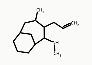 C=CCC1C(C)CC2CCCC(C2)C1NC